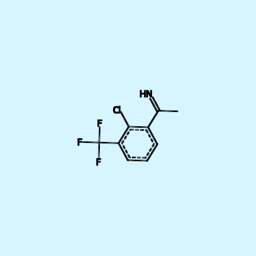 CC(=N)c1cccc(C(F)(F)F)c1Cl